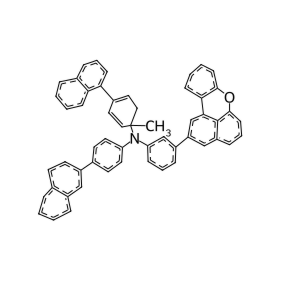 CC1(N(c2ccc(-c3ccc4ccccc4c3)cc2)c2cccc(-c3cc4c5c(cccc5c3)Oc3ccccc3-4)c2)C=CC(c2cccc3ccccc23)=CC1